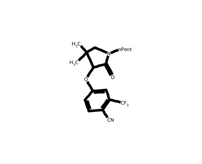 CCCCCN1CC(C)(C)C(Oc2ccc(C#N)c(C(F)(F)F)c2)C1=O